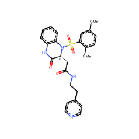 COc1ccc(OC)c(S(=O)(=O)N2c3ccccc3NC(=O)[C@H]2CC(=O)NCCc2ccncc2)c1